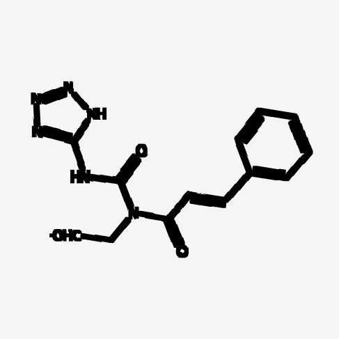 O=[C]CN(C(=O)C=Cc1ccccc1)C(=O)Nc1nnn[nH]1